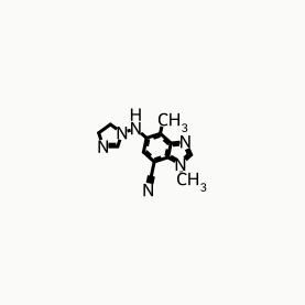 Cc1c(NN2C=NCC2)cc(C#N)c2c1ncn2C